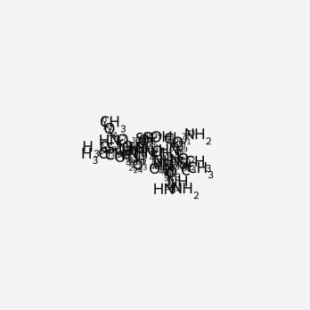 CCOCCNC(=O)[C@H](CSC(C)(C)C)NC(=O)[C@H](Cc1ccccc1)NC(=O)[C@H](CS)NC(=O)[C@H](CC(=O)O)NC(=O)CNC(=O)[C@H](CCCNC(=N)N)NC(=O)[C@H](CSC(C)(C)C)NC(=O)[C@H](CCCCN)NC(=O)CCl